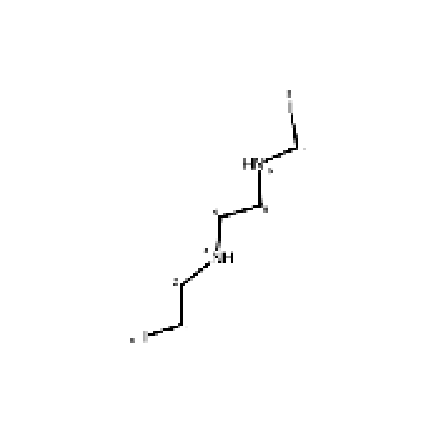 ICCNCCNCI